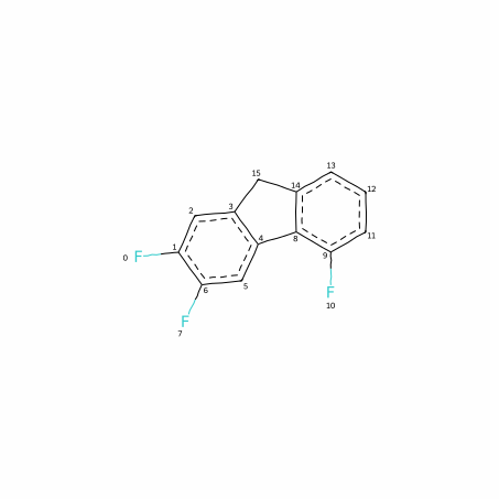 Fc1cc2c(cc1F)-c1c(F)cccc1C2